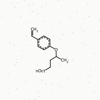 [CH2]C(CCCCCCCCCC)Oc1ccc(C=C)cc1